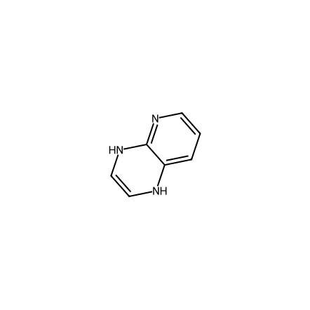 C1=CNc2ncccc2N1